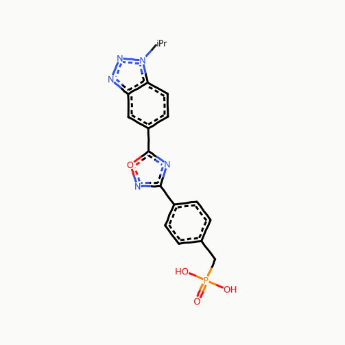 CC(C)n1nnc2cc(-c3nc(-c4ccc(CP(=O)(O)O)cc4)no3)ccc21